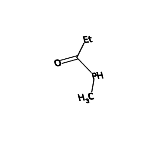 CCC(=O)PC